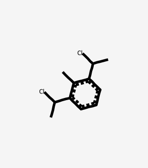 Cc1c(C(C)Cl)cccc1C(C)Cl